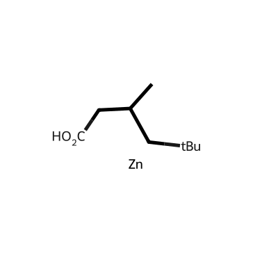 CC(CC(=O)O)CC(C)(C)C.[Zn]